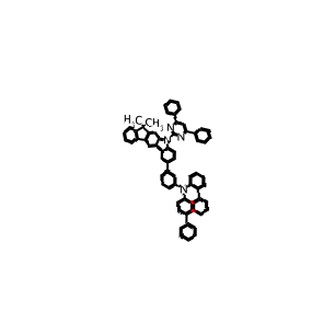 CC1(C)c2ccccc2-c2cc3c4cc(-c5cccc(N(c6ccc(-c7ccccc7)cc6)c6ccccc6-c6ccccc6)c5)ccc4n(-c4nc(-c5ccccc5)cc(-c5ccccc5)n4)c3cc21